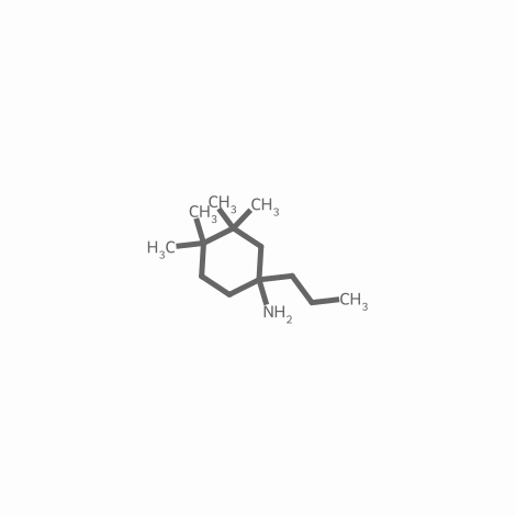 CCCC1(N)CCC(C)(C)C(C)(C)C1